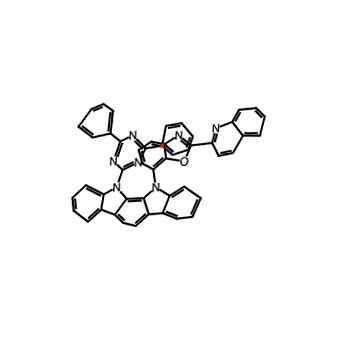 c1ccc(-c2nc(-c3ccccc3)nc(-n3c4ccccc4c4ccc5c6ccccc6n(-c6cccc7nc(-c8ccc9ccccc9n8)oc67)c5c43)n2)cc1